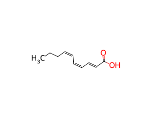 CCC\C=C/C=C\C=C\C(=O)O